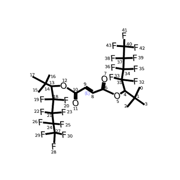 CC(C)(C)C(OC(=O)/C=C/C(=O)OC(C(C)(C)C)C(F)(F)C(F)(F)C(F)(F)C(F)(F)F)C(F)(F)C(F)(F)C(F)(F)C(F)(F)F